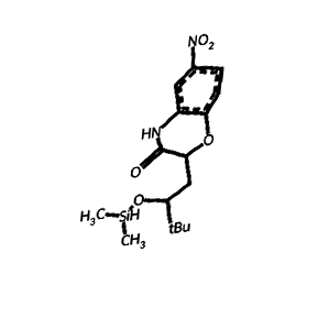 C[SiH](C)OC(CC1Oc2ccc([N+](=O)[O-])cc2NC1=O)C(C)(C)C